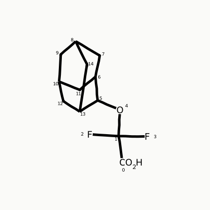 O=C(O)C(F)(F)OC1C2CC3CC(C2)CC1C3